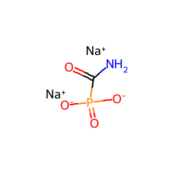 NC(=O)P(=O)([O-])[O-].[Na+].[Na+]